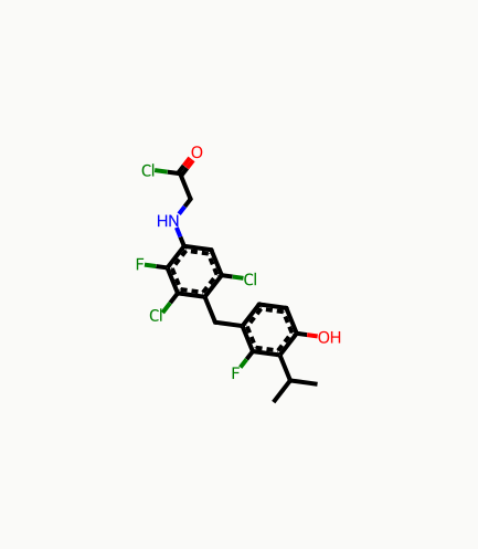 CC(C)c1c(O)ccc(Cc2c(Cl)cc(NCC(=O)Cl)c(F)c2Cl)c1F